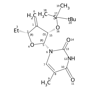 C=C1[C@@H](CC)O[C@@H](n2cc(C)c(=O)[nH]c2=O)[C@H]1O[Si](C)(C)C(C)(C)C